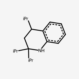 CC(C)C1CC(C(C)C)(C(C)C)Nc2ccccc21